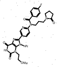 CCCn1c(-c2ccc(N(CCCN3CCCC3=O)C(=O)c3ccc(F)cc3)nc2)nc2c(=O)[nH]c(=O)n(CCOC)c21